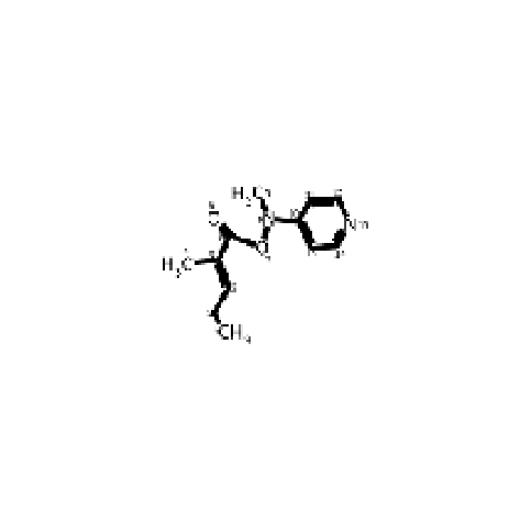 CCC=C(C)C(=O)ON(C)c1ccncc1